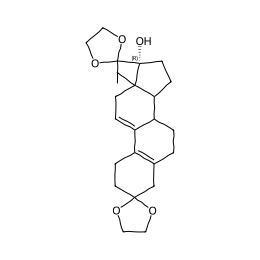 CC1([C@@]2(O)CCC3C4CCC5=C(CCC6(C5)OCCO6)C4=CCC32C)OCCO1